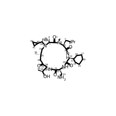 CCCC[C@H]1C(=O)N(C)[C@@H](CC(C)C)C(=O)N[C@@H](C2CCCCC2)C(=O)N[C@@H](CN)C(=O)N[C@@H]([C@H](C)O)C(=O)C[C@H](C)CN1CC1CC1